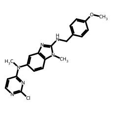 COc1ccc(CNc2nc3cc(N(C)c4ccnc(Cl)n4)ccc3n2C)cc1